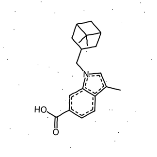 Cc1cn(CC2CC3CC(C2)C3(C)C)c2cc(C(=O)O)ccc12